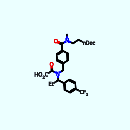 CCCCCCCCCCCCN(C)C(=O)c1ccc(CN(C(=O)C(=O)O)C(CC)c2ccc(C(F)(F)F)cc2)cc1